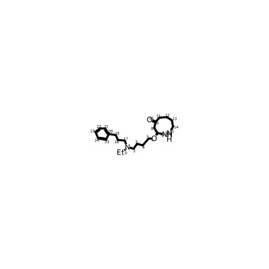 CCN(CCCCOC1CC(=O)CCCCNN1)CCCc1ccccc1